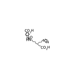 O=C(O)CCC(CCCCNS(=O)(=O)c1ccc(C(=O)O)cc1)CCCn1ccnc1